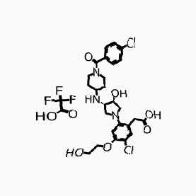 O=C(O)C(F)(F)F.O=C(O)Cc1cc(Cl)c(OCCO)cc1N1C[C@H](NC2CCN(C(=O)c3ccc(Cl)cc3)CC2)[C@@H](O)C1